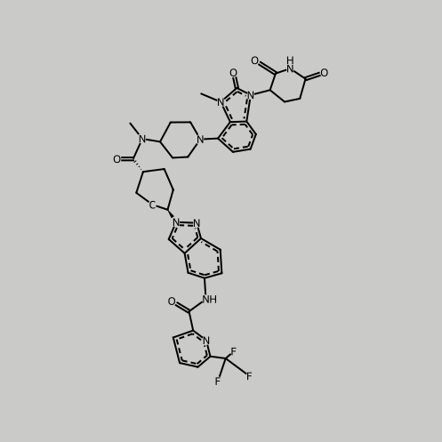 CN(C(=O)[C@H]1CC[C@H](n2cc3cc(NC(=O)c4cccc(C(F)(F)F)n4)ccc3n2)CC1)C1CCN(c2cccc3c2n(C)c(=O)n3C2CCC(=O)NC2=O)CC1